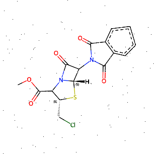 COC(=O)C1[C@@H](CCl)S[C@H]2C(N3C(=O)c4ccccc4C3=O)C(=O)N12